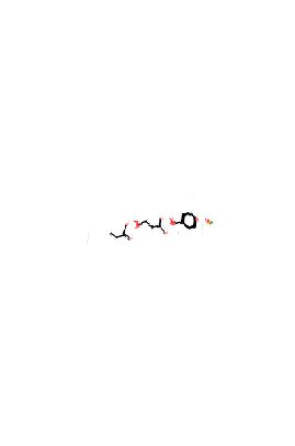 CCCC1COC(CCC2COC(c3ccc(OC(F)(F)F)c(F)c3)OC2)OC1